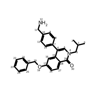 CC(C)Cn1[c]c(-c2ccc(CN)cc2)c2cc(OCc3ccccc3)ccc2c1=O